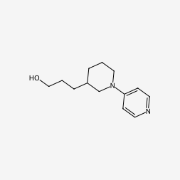 OCCCC1CCCN(c2ccncc2)C1